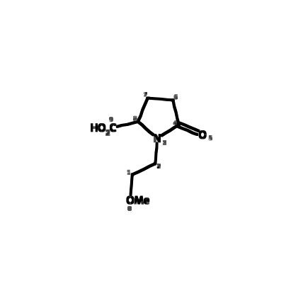 COCCN1C(=O)CCC1C(=O)O